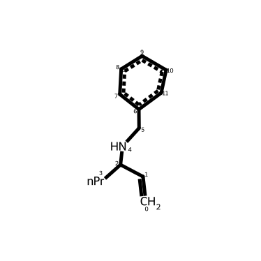 C=CC(CCC)NCc1ccccc1